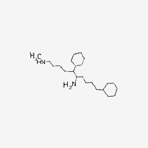 CNCCCCC(C(N)CCCCC1CCCCC1)C1CCCCC1